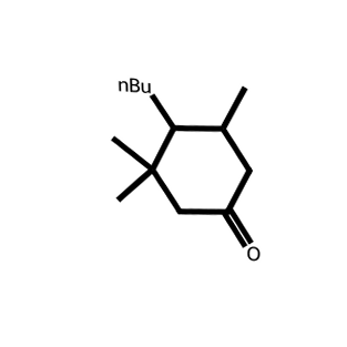 CCCCC1C(C)CC(=O)CC1(C)C